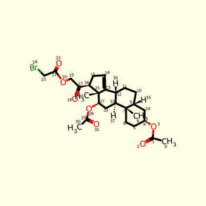 CC(=O)O[C@H]1CC[C@@]2(C)[C@H](CC[C@H]3C4=CC[C@H](C(=O)COC(=O)CBr)[C@@]4(C)[C@H](OC(C)=O)C[C@@H]32)C1